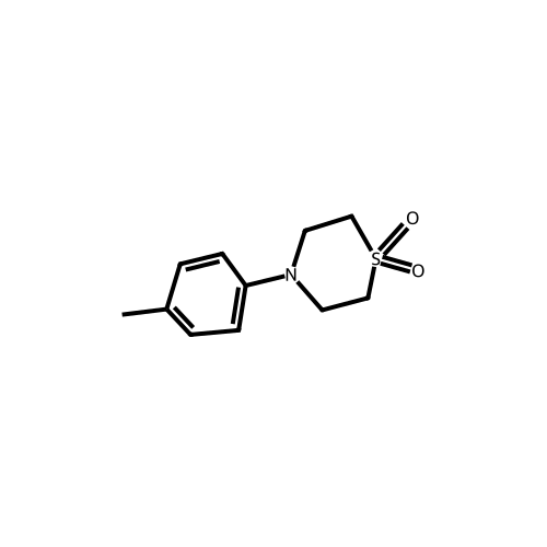 Cc1ccc(N2CCS(=O)(=O)CC2)cc1